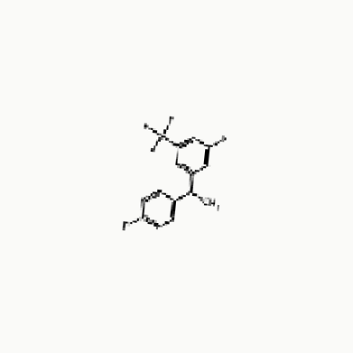 CC(c1ccc(F)cc1)c1cc(F)cc(C(F)(F)F)c1